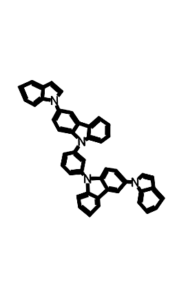 c1cc(-n2c3ccccc3c3cc(-n4ccc5ccccc54)ccc32)cc(-n2c3ccccc3c3cc(-n4ccc5ccccc54)ccc32)c1